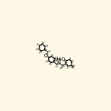 COc1ccc(F)cc1C(C)NCc1ccc(OCc2ccccc2)cc1